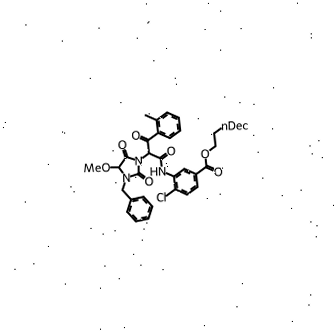 CCCCCCCCCCCCOC(=O)c1ccc(Cl)c(NC(=O)C(C(=O)c2ccccc2C)N2C(=O)C(OC)N(Cc3ccccc3)C2=O)c1